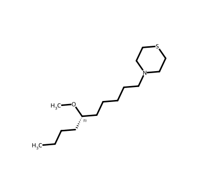 CCCC[C@@H](CCCCCN1CCSCC1)OC